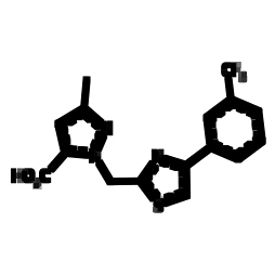 Cc1cc(C(=O)O)n(Cc2nc(-c3cccc(C(F)(F)F)c3)cs2)n1